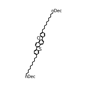 CCCCCCCCCCCCCCCCCCCCc1ccc2c(c1)oc1c2ccc2c1ccc1c3ccc(CCCCCCCCCCCCCCCCCCCC)cc3sc12